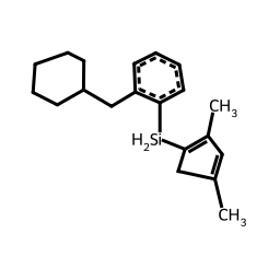 CC1=CC(C)=C([SiH2]c2ccccc2CC2CCCCC2)C1